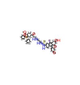 COC(=O)c1ccc(C(=O)CCNCCCNC(=S)Nc2ccc(C3=C4C=CC(=O)C=C4OC4C=C(O)C=CC34)c(CI)c2)cc1P(c1ccccc1)c1ccccc1